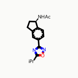 CC(=O)N[C@@H]1CCc2cc(-c3noc(C(C)C)n3)ccc21